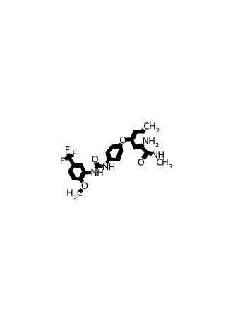 C=C/C=C(\C=C(/N)C(=O)NC)Oc1ccc(NC(=O)Nc2cc(C(F)(F)F)ccc2OC)cc1